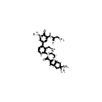 CCC(=O)Nc1cc(-c2ccnc(N3CCn4c(cc5c4CC(C)(C)C5)C3=O)c2CO)cn(C)c1=O